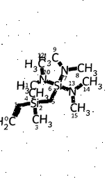 C=C[Si](C)(C)C[Si](N(C)C)(N(C)C)N(C)C